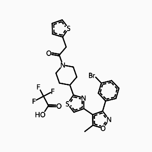 Cc1onc(-c2cccc(Br)c2)c1-c1csc(C2CCN(C(=O)Cc3cccs3)CC2)n1.O=C(O)C(F)(F)F